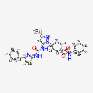 CC(C)(C)c1cc(NC(=O)Nc2nc(-c3ccccc3)cs2)n(-c2ccc(S(=O)(=O)Nc3ccccc3)cc2)n1